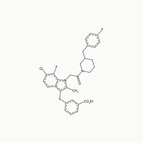 CCOC(=O)c1cccc(Sc2c(C)n(CC(=O)N3CCCC(Cc4ccc(F)cc4)C3)c3c(F)c(Cl)ccc23)c1